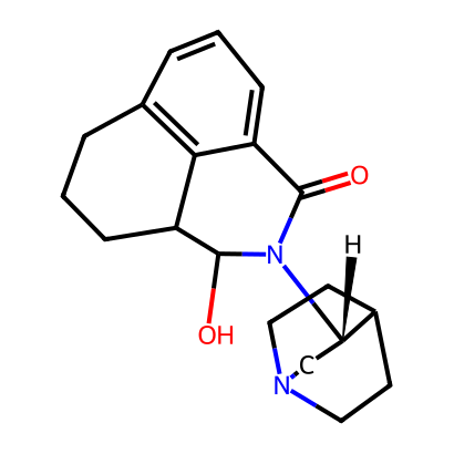 O=C1c2cccc3c2C(CCC3)C(O)N1[C@H]1CN2CCC1CC2